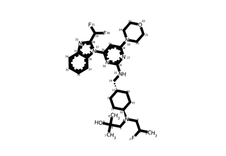 CC(F)CN(CC(C)(C)O)[C@H]1CC[C@H](CNc2nc(N3CCOCC3)cc(-n3c(C(F)F)nc4ccccc43)n2)CC1